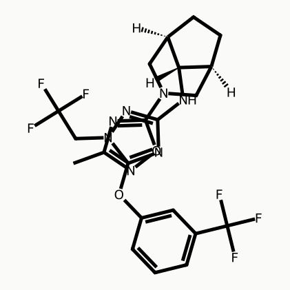 Cc1noc(N2C[C@H]3CC[C@@H](C2)[C@@H]3Nc2nc(Oc3cccc(C(F)(F)F)c3)n(CC(F)(F)F)n2)n1